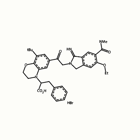 Br.CCOc1cc2c(cc1C(=O)NC)C(=N)N(CC(=O)c1cc3c(c(C(C)(C)C)c1)OCCN3C(Cc1ccccc1)C(=O)O)C2